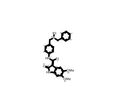 CC/C(Nc1ccc(CN(CC)Cc2ccccc2)cc1)=C1/C(=O)Nc2cc(OC)c(OC)cc21